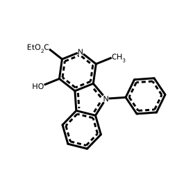 CCOC(=O)c1nc(C)c2c(c1O)c1ccccc1n2-c1ccccc1